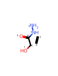 C=C.NNC(=O)CO